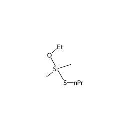 CCCS[Si](C)(C)OCC